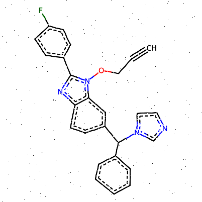 C#CCOn1c(-c2ccc(F)cc2)nc2ccc(C(c3ccccc3)n3ccnc3)cc21